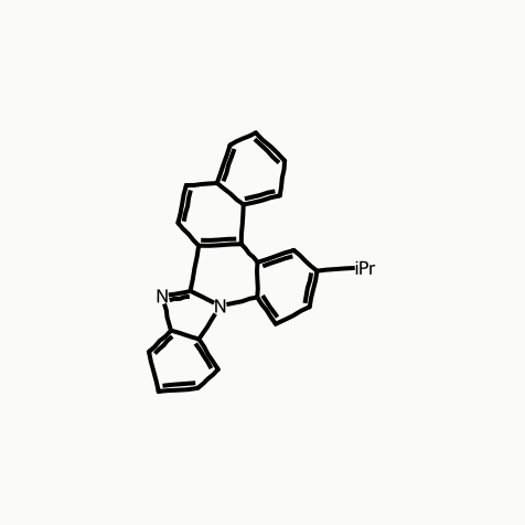 CC(C)c1ccc2c(c1)c1c3ccccc3ccc1c1nc3ccccc3n21